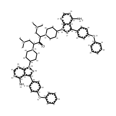 CN(C)CC(C(=O)C(CN(C)C)N1CCC(n2nc(-c3ccc(Oc4ccccc4)cc3)c3c(N)ncnc32)CC1)N1CCC(n2nc(-c3ccc(Oc4ccccc4)cc3)c3c(N)ncnc32)CC1